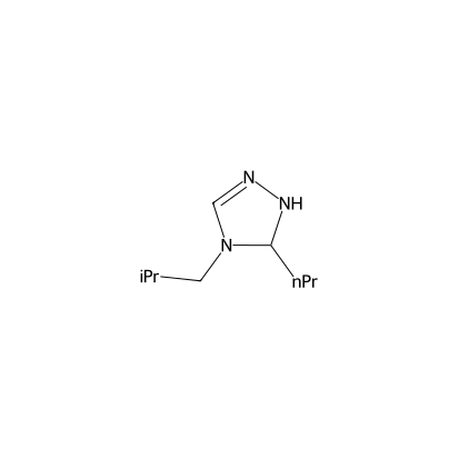 CCCC1NN=CN1CC(C)C